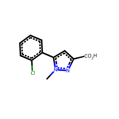 Cn1nc(C(=O)O)cc1-c1ccccc1Cl